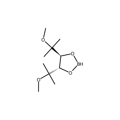 COC(C)(C)[C@H]1OBO[C@@H]1C(C)(C)OC